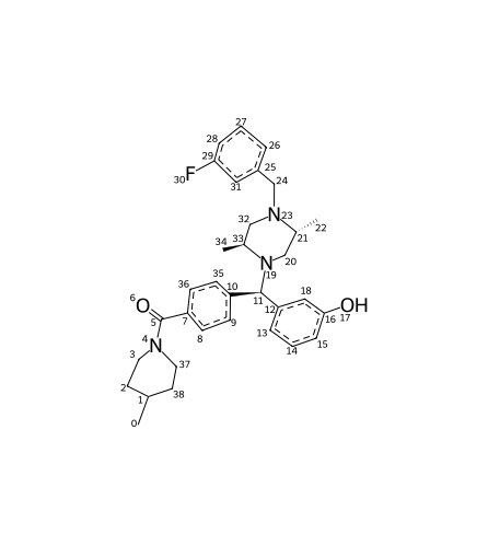 CC1CCN(C(=O)c2ccc([C@H](c3cccc(O)c3)N3C[C@@H](C)N(Cc4cccc(F)c4)C[C@@H]3C)cc2)CC1